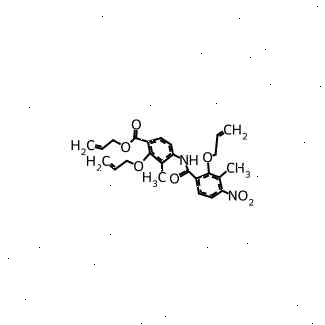 C=CCOC(=O)c1ccc(NC(=O)c2ccc([N+](=O)[O-])c(C)c2OCC=C)c(C)c1OCC=C